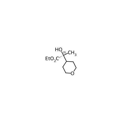 CCOC(=O)[C@@](C)(O)C1CCOCC1